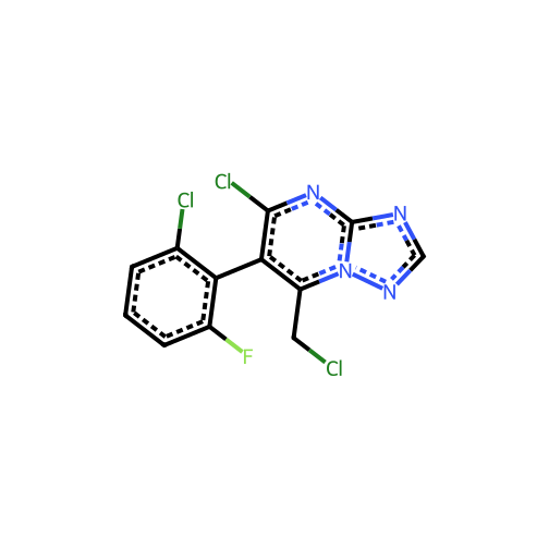 Fc1cccc(Cl)c1-c1c(Cl)nc2ncnn2c1CCl